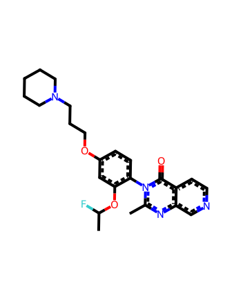 Cc1nc2cnccc2c(=O)n1-c1ccc(OCCCN2CCCCC2)cc1OC(C)F